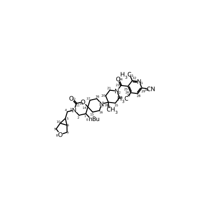 CCCCC1CN(CC2C3COCC32)C(=O)OC12CCN(C1(C)CCN(C(=O)c3c(C)cc(C#N)nc3C)CC1)CC2